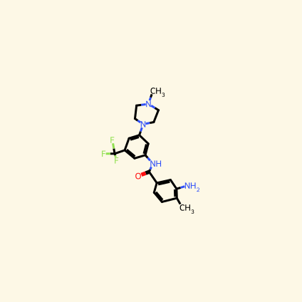 Cc1ccc(C(=O)Nc2cc(N3CCN(C)CC3)cc(C(F)(F)F)c2)cc1N